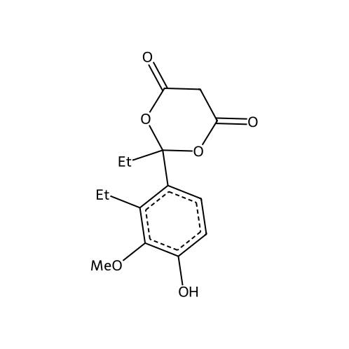 CCc1c(C2(CC)OC(=O)CC(=O)O2)ccc(O)c1OC